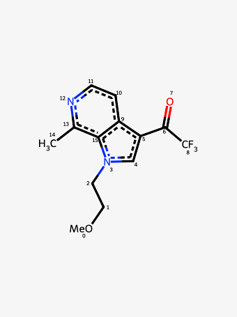 COCCn1cc(C(=O)C(F)(F)F)c2ccnc(C)c21